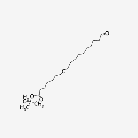 CC(C)(C)OC(=O)CCCCCCCCCCCCCCCCC=O